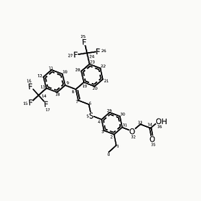 CCc1cc(SCC=C(c2cccc(C(F)(F)F)c2)c2cccc(C(F)(F)F)c2)ccc1OCC(=O)O